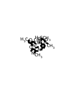 CCN1C(=O)C(C)(C)C(=O)N(C)c2cc(CN(CCn3cc(C)c4oc(C)cc4c3=O)Cc3cccnc3C)ccc21